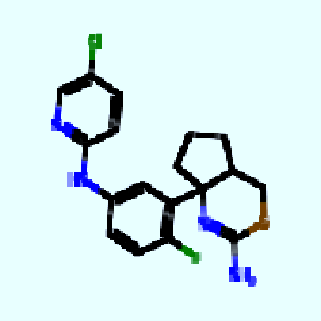 NC1=NC2(c3cc(Nc4ccc(Cl)cn4)ccc3F)CCCC2CS1